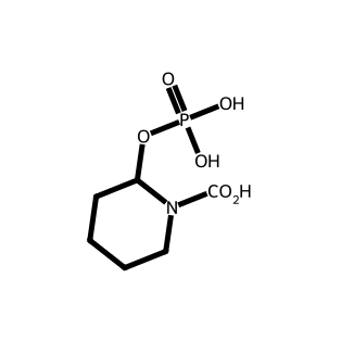 O=C(O)N1CCCCC1OP(=O)(O)O